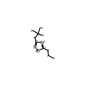 CCCc1nc(CC(C)(C)C)no1